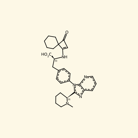 CN1CCCC[C@H]1c1nc2cccnc2n1-c1ccc(C[C@H](NC2=CC(=O)C23CCCCC3)C(=O)O)cc1